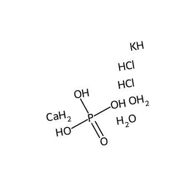 Cl.Cl.O.O.O=P(O)(O)O.[CaH2].[KH]